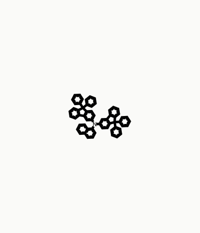 c1ccc(C2(c3ccccc3)c3ccccc3-c3cc(N(c4ccc5c(c4)-c4ccccc4C5(c4ccccc4)c4ccccc4)c4cccc5ccccc45)ccc32)cc1